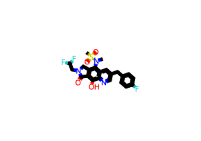 CN(c1c2c(c(O)c3ncc(Cc4ccc(F)cc4)cc13)C(=O)N(CC(F)F)C2)S(C)(=O)=O